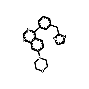 c1cc(Cc2nccs2)cc(-c2ncnc3cc(N4CCOCC4)ccc23)c1